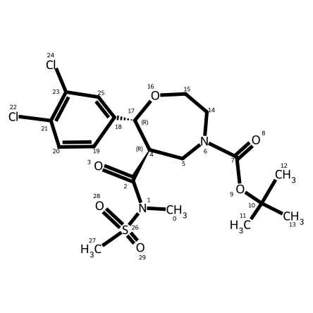 CN(C(=O)[C@@H]1CN(C(=O)OC(C)(C)C)CCO[C@H]1c1ccc(Cl)c(Cl)c1)S(C)(=O)=O